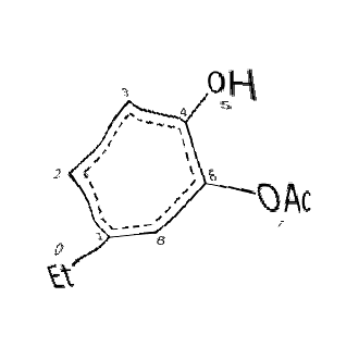 CCc1ccc(O)c(OC(C)=O)c1